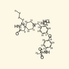 CCCCN1NC(=O)CC12CCN(Cc1ccc(Oc3ccc(NS(C)(=O)=O)cc3)cc1)CC2.Cl.Cl